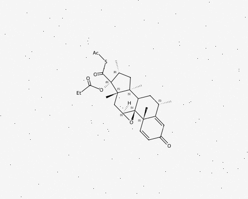 CCC(=O)O[C@]1(C(=O)SC(C)=O)[C@H](C)C[C@@]2(C)C3C[C@H](C)C4=CC(=O)C=C[C@]4(C)[C@@]34O[C@H]4C[C@@]21C